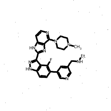 CCNCc1cncc(-c2ccc3[nH]nc(-c4nc5c(N6CCN(C)CC6)nccc5[nH]4)c3c2F)c1